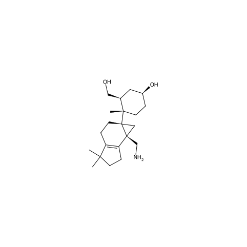 CC1(C)CCC2=C1CC[C@@]1([C@@]3(C)CC[C@H](O)C[C@@H]3CO)C[C@]21CN